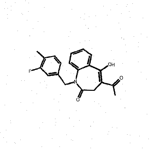 CC(=O)C1=C(O)c2ccccc2N(Cc2ccc(C)c(F)c2)C(=O)C1